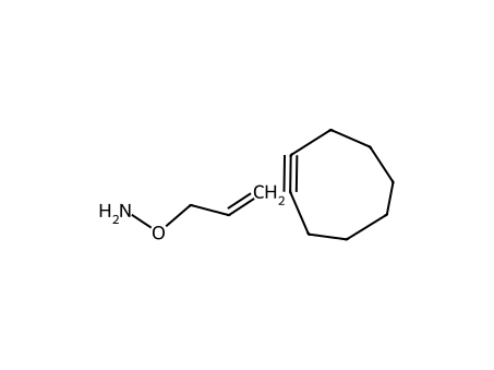 C1#CCCCCCC1.C=CCON